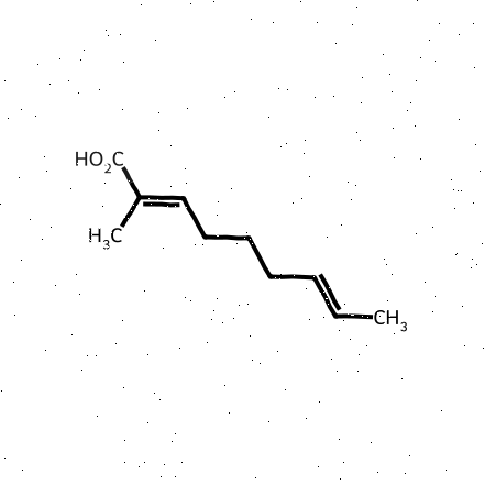 CC=CCCCC=C(C)C(=O)O